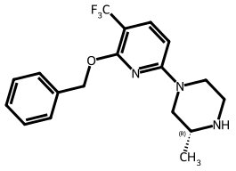 C[C@@H]1CN(c2ccc(C(F)(F)F)c(OCc3ccccc3)n2)CCN1